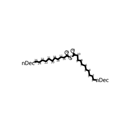 CCCCCCCCCCCCCCCCCCCCC(=O)SC(=O)CCCCCCCCCCCCCCCCCCCC